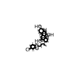 CC(CCc1nc2ccc(Cl)cc2o1)[C@H]1CC[C@H]2[C@@H]3[C@H](O)C[C@@H]4C[C@H](O)CC[C@]4(C)[C@H]3C[C@H](O)[C@]12C